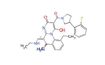 CCN/C=C(\C=N)c1nc(=O)c(C(=O)N2CCC(c3ccccc3F)C2)c(O)n1-c1c(CC)cccc1CC